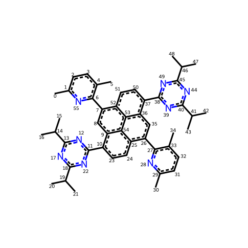 Cc1ccc(C)c(-c2cc3c(-c4nc(C(C)C)nc(C(C)C)n4)ccc4c(-c5nc(C)ccc5C)cc5c(-c6nc(C(C)C)nc(C(C)C)n6)ccc2c5c34)n1